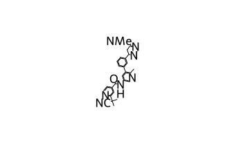 CNC1=NC=NC(c2cccc(-c3cc(NC(=O)c4ccnc(C(C)(C)C#N)c4)cnc3C)c2)C1